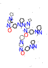 Cc1nc2ccccc2n1-c1ccc(C(=O)N(C)C2CCN(C3CCC3)CC2)cc1.Cc1nc2ccccc2n1-c1ccc(C(=O)N(C)C2CCN(C3CCCC3)CC2)cc1.Cc1nc2ccccc2n1-c1ccc(C(=O)N(C)C2CCN(C3CCCCC3)CC2)cc1